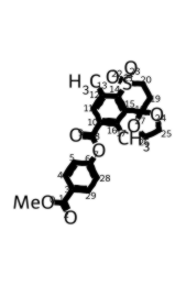 COC(=O)c1ccc(OC(=O)c2cc(C)c3c(c2C)C2(CCS3(=O)=O)OCCO2)cc1